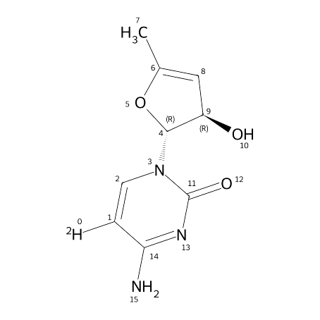 [2H]c1cn([C@@H]2OC(C)=C[C@H]2O)c(=O)nc1N